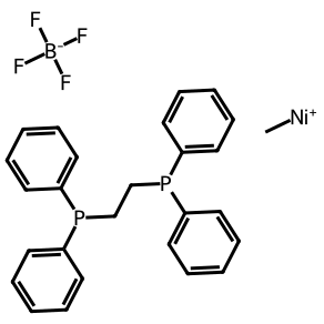 F[B-](F)(F)F.[CH3][Ni+].c1ccc(P(CCP(c2ccccc2)c2ccccc2)c2ccccc2)cc1